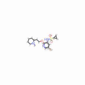 CN1CCCCC1CCOc1ncc(Br)cc1NS(=O)(=O)C1CC1